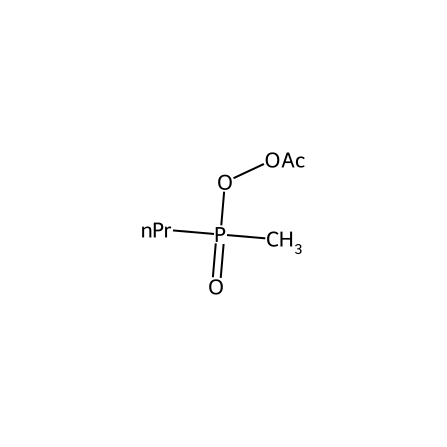 CCCP(C)(=O)OOC(C)=O